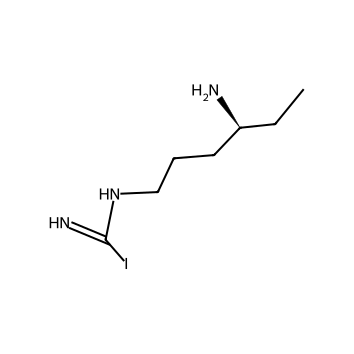 CC[C@H](N)CCCNC(=N)I